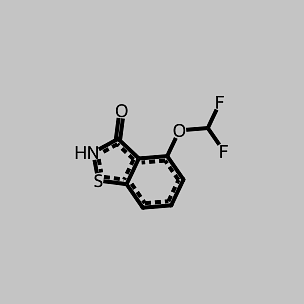 O=c1[nH]sc2cccc(OC(F)F)c12